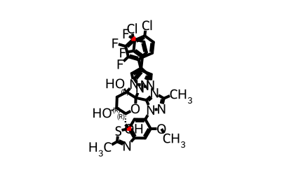 COc1cc2nc(C)sc2cc1-n1nc(C)nc1C1(n2cc(-c3ccc(Cl)c(F)c3F)cn2)O[C@H](CO)[C@H](O)C[C@]1(O)n1cc(-c2ccc(Cl)c(F)c2F)cn1